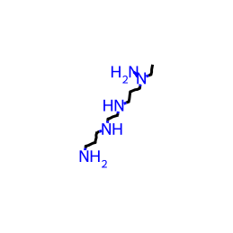 CCN(N)CCCNCCNCCCN